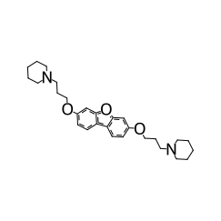 c1cc2c(cc1OCCCN1CCCCC1)oc1cc(OCCCN3CCCCC3)ccc12